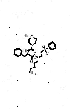 Br.NCCCC[C@@H](/C=C/S(=O)(=O)c1ccccc1)NC(=O)C(Cc1ccccc1)NC(=O)N1CCOCC1